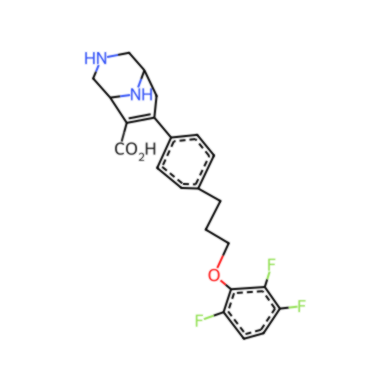 O=C(O)C1=C(c2ccc(CCCOc3c(F)ccc(F)c3F)cc2)CC2CNCC1N2